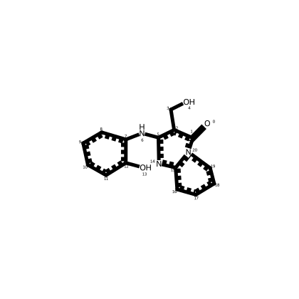 O=c1c(CO)c(Nc2ccccc2O)nc2ccccn12